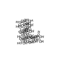 CCO.OC[C@@H](O)[C@@H](O)[C@H](O)[C@H](O)CO.OC[C@@H](O)[C@@H](O)[C@H](O)[C@H](O)CO.OC[C@H]1O[C@@](CO)(O[C@H]2O[C@H](CO)[C@@H](O)[C@H](O)[C@H]2O)[C@@H](O)[C@@H]1O.OC[C@H]1O[C@@](CO)(O[C@H]2O[C@H](CO)[C@@H](O)[C@H](O)[C@H]2O)[C@@H](O)[C@@H]1O.OC[C@H]1O[C@@](CO)(O[C@H]2O[C@H](CO)[C@@H](O)[C@H](O)[C@H]2O)[C@@H](O)[C@@H]1O